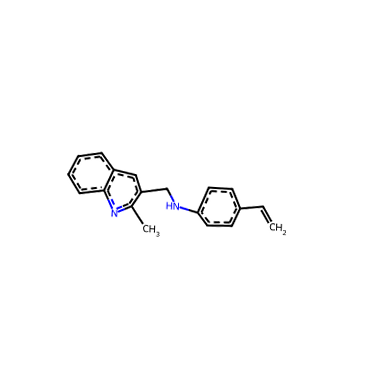 C=Cc1ccc(NCc2cc3ccccc3nc2C)cc1